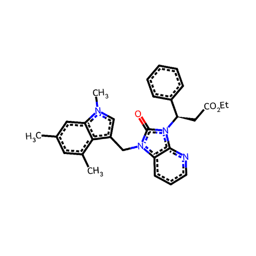 CCOC(=O)C[C@H](c1ccccc1)n1c(=O)n(Cc2cn(C)c3cc(C)cc(C)c23)c2cccnc21